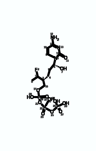 CC(F)[C@H](CC[C@@H](O)n1ccc(N)nc1=O)COP(=O)(O)OP(=O)(O)OP(=O)(O)O